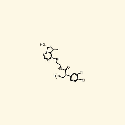 C[C@@H]1C[C@@H](O)c2ncnc(NCCNC(=O)[C@H](CN)c3ccc(Cl)c(Cl)c3)c21